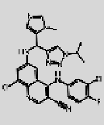 CC(C)n1cc(C(Nc2cc(Cl)c3ncc(C#N)c(Nc4ccc(F)c(Cl)c4)c3c2)c2cncn2C)nn1